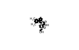 Cc1cc(C)cc(C2(Cc3nc(=O)c(O)c4n3CCN(CCO)C4=O)CCCC2)c1